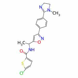 CC(NC(=O)c1ccc(Cl)s1)c1cc(-c2ccc(C3=NCCN3C)cc2)no1